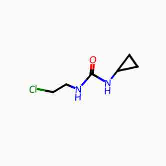 O=C(NCCCl)NC1CC1